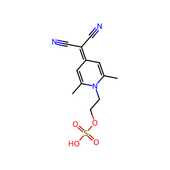 CC1=CC(=C(C#N)C#N)C=C(C)N1CCOS(=O)(=O)O